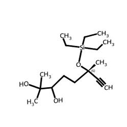 C#C[C@](C)(CCC(O)C(C)(C)O)O[Si](CC)(CC)CC